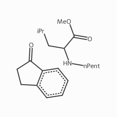 CCCCCNC(CC(C)C)C(=O)OC.O=C1CCc2ccccc21